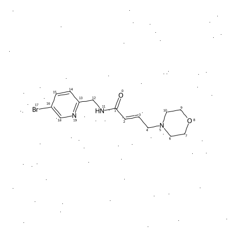 O=C(/C=C/CN1CCOCC1)NCc1ccc(Br)cn1